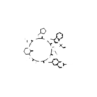 C=CC(C)(C)n1cc(C[C@@H]2NC(=O)[C@H](CC3CCCC3)NC(=O)[C@H](CC(C)C)N3CCC[C@@H](C3=O)N(C)C(=O)[C@H](C)NC(=O)[C@H](Cc3ccc4nc(OC)ncc4c3)NC(=O)[C@H](CC(C)C)N(C)C2=O)c2ccccc21